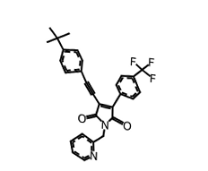 CC(C)(C)c1ccc(C#CC2=C(c3ccc(C(F)(F)F)cc3)C(=O)N(Cc3ccccn3)C2=O)cc1